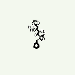 CC[C@H](C(=O)N1C(=O)OC[C@@H]1Cc1ccccc1)[C@H](O)CC1(C)OCCO1